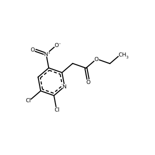 CCOC(=O)Cc1nc(Cl)c(Cl)cc1[N+](=O)[O-]